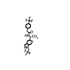 C[C@@H](NC(=O)Cc1ccc(C(F)(F)F)cc1)c1cc2cnn(CC(F)(F)F)c2cn1